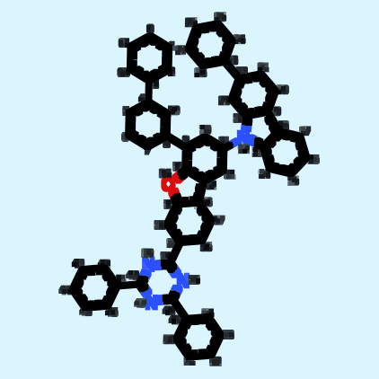 c1ccc(-c2cccc(-c3cc(-n4c5ccccc5c5ccc(-c6ccccc6)cc54)cc4c3oc3cc(-c5nc(-c6ccccc6)nc(-c6ccccc6)n5)ccc34)c2)cc1